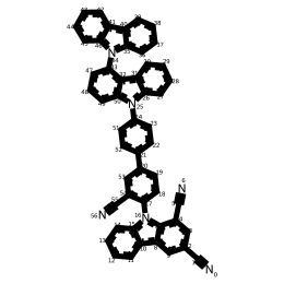 N#Cc1cc(C#N)c2c(c1)c1ccccc1n2-c1ccc(-c2ccc(-n3c4ccccc4c4c(-n5c6ccccc6c6ccccc65)cccc43)cc2)cc1C#N